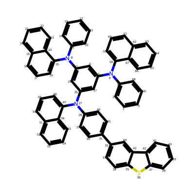 c1ccc(N(c2cc(N(c3ccccc3)c3cccc4ccccc34)cc(N(c3ccc(-c4ccc5sc6ccccc6c5c4)cc3)c3cccc4ccccc34)c2)c2cccc3ccccc23)cc1